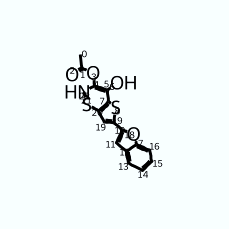 CC(=O)OC1=C(O)c2sc(-c3cc4ccccc4o3)cc2SN1